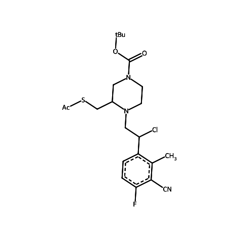 CC(=O)SCC1CN(C(=O)OC(C)(C)C)CCN1CC(Cl)c1ccc(F)c(C#N)c1C